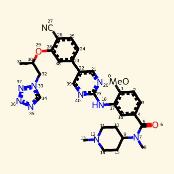 COc1ccc(C(=O)N(C)C2CCN(C)CC2)cc1Nc1ncc(-c2ccc(C#N)c(OC(C)Cn3cnnn3)c2)cn1